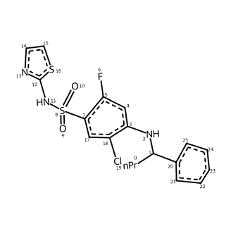 CCCC(Nc1cc(F)c(S(=O)(=O)Nc2nccs2)cc1Cl)c1ccccc1